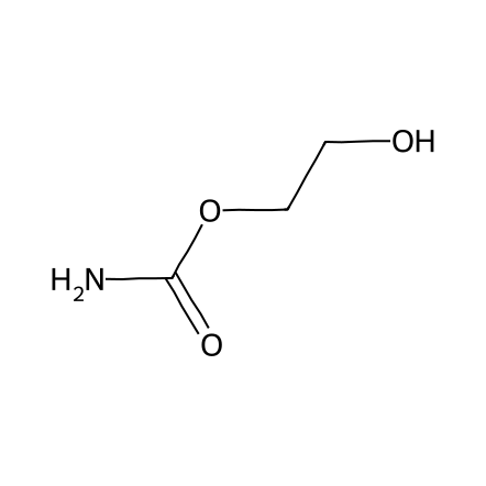 NC(=O)OCCO